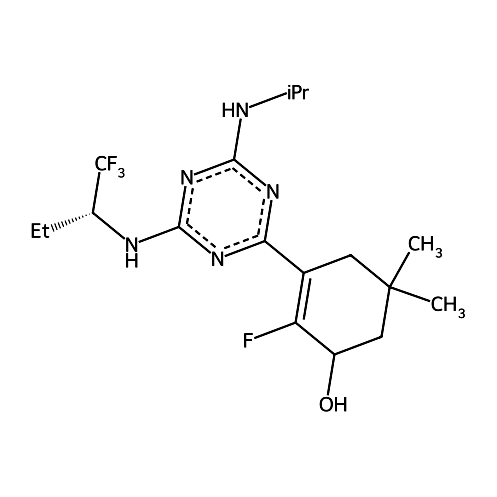 CC[C@@H](Nc1nc(NC(C)C)nc(C2=C(F)C(O)CC(C)(C)C2)n1)C(F)(F)F